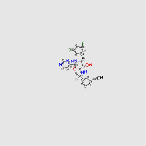 C#Cc1cccc(C2(NC[C@@H](O)[C@H](Cc3cc(F)cc(F)c3)NC(=O)c3ccncn3)CC2)c1